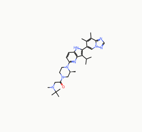 Cc1c(-c2[nH]c3ccc(N4CCN(C(=O)CN(C)C(C)(C)C)C[C@@H]4C)nc3c2C(C)C)cn2ncnc2c1C